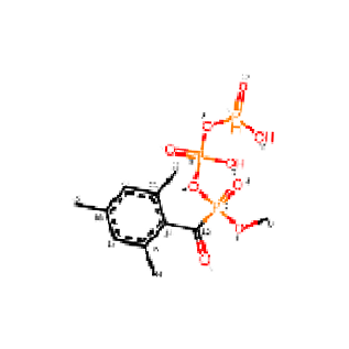 COP(=O)(OP(=O)(O)O[PH](=O)O)C(=O)c1c(C)cc(C)cc1C